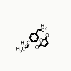 C=CC.C=Cc1ccccc1.O=C1C=CC(=O)O1